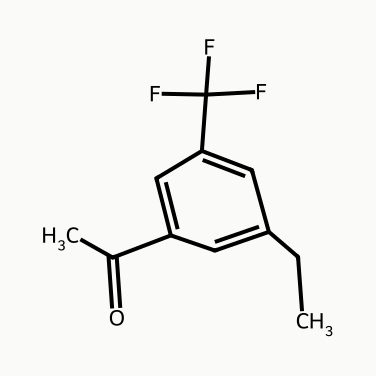 CCc1cc(C(C)=O)cc(C(F)(F)F)c1